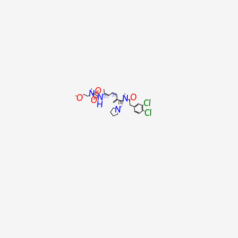 C=C(/C=C\C=C(/C)NS(=O)(=O)N(C)CCOC)[C@@H](CN1CCCC1)N(C)C(=O)Cc1ccc(Cl)c(Cl)c1